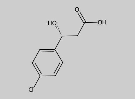 O=C(O)C[C@@H](O)c1ccc(Cl)cc1